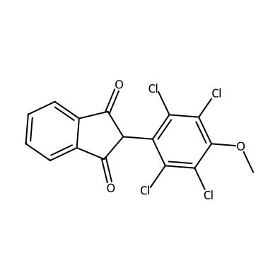 COc1c(Cl)c(Cl)c(C2C(=O)c3ccccc3C2=O)c(Cl)c1Cl